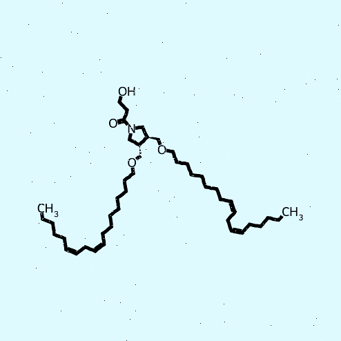 CCCCC/C=C\C/C=C\CCCCCCCCOC[C@@H]1CN(C(=O)CCO)C[C@H]1COCCCCCCCC/C=C\C/C=C\CCCCC